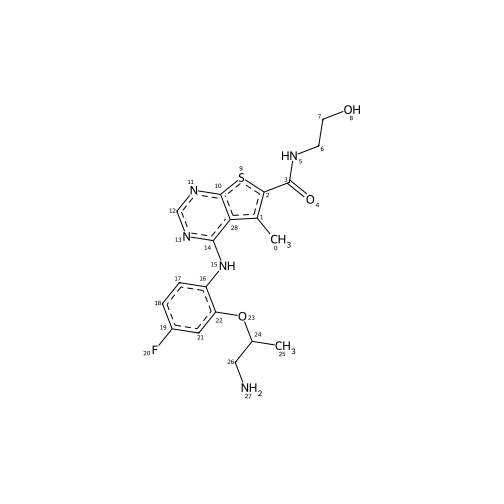 Cc1c(C(=O)NCCO)sc2ncnc(Nc3ccc(F)cc3OC(C)CN)c12